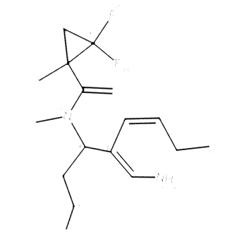 C=C(N(C)C(CCC)C(/C=C\CC)=C/N)C1(C)CC1(F)F